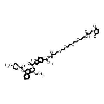 BC[C@@H]1CN(C(=O)c2cc3cc(/C(C)=N/NC(=O)CCOCCOCCOCCOCCNC(=O)CCN4C(=O)C=CC4=O)ccc3[nH]2)c2cc(OC(=O)N3CCN(C)CC3)c3ccccc3c21